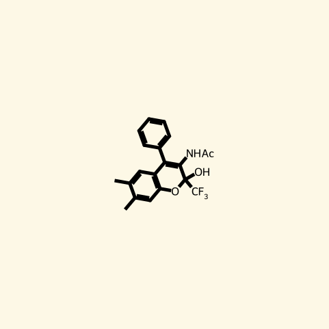 CC(=O)NC1=C(c2ccccc2)c2cc(C)c(C)cc2OC1(O)C(F)(F)F